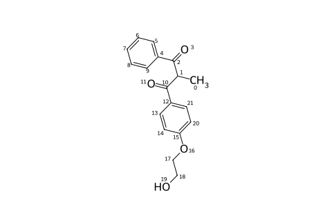 CC(C(=O)c1ccccc1)C(=O)c1ccc(OCCO)cc1